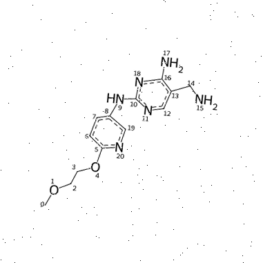 COCCOc1ccc(Nc2ncc(CN)c(N)n2)cn1